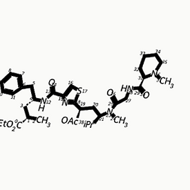 CCOC(=O)[C@@H](C)C[C@H](Cc1ccccc1)NC(=O)c1csc([C@@H](CC(C(C)C)N(C)C(=O)CNC(=O)[C@H]2CCCCN2C)OC(C)=O)n1